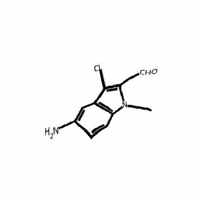 Cn1c(C=O)c(Cl)c2cc(N)ccc21